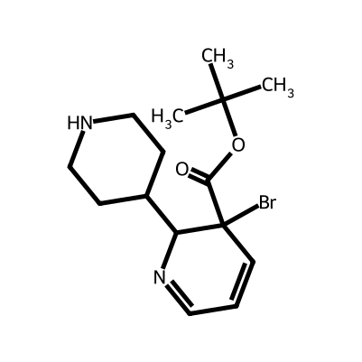 CC(C)(C)OC(=O)C1(Br)C=CC=NC1C1CCNCC1